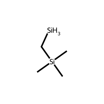 C[Si](C)(C)C[SiH3]